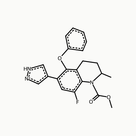 COC(=O)N1c2c(F)cc(-c3cn[nH]c3)c(Oc3ccccc3)c2CCC1C